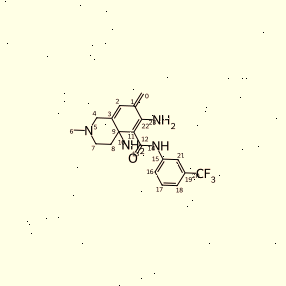 C=C1C=C2CN(C)CCC2(N)C(C(=O)Nc2cccc(C(F)(F)F)c2)=C1N